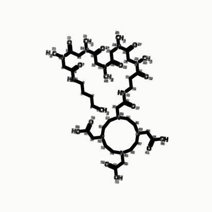 CCCCCNC(=O)CN(C)C(=O)CN(C)C(=O)CN(C)C(=O)CN(C)C(=O)CN(C)C(=O)CCNC(=O)CN1CCN(CC(=O)O)CCN(CC(=O)O)CCN(CC(=O)O)CC1